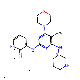 Cc1c(N[C@@H]2CCCNC2)nc(Nc2ccc[nH]c2=O)nc1N1CCOCC1